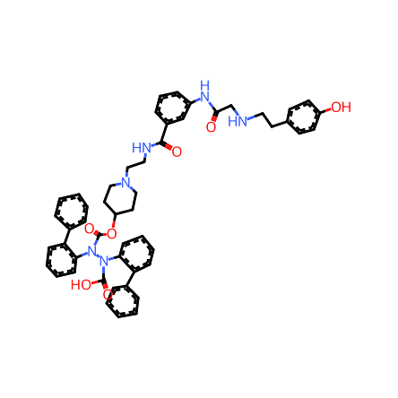 O=C(CNCCc1ccc(O)cc1)Nc1cccc(C(=O)NCCN2CCC(OC(=O)N(c3ccccc3-c3ccccc3)N(C(=O)O)c3ccccc3-c3ccccc3)CC2)c1